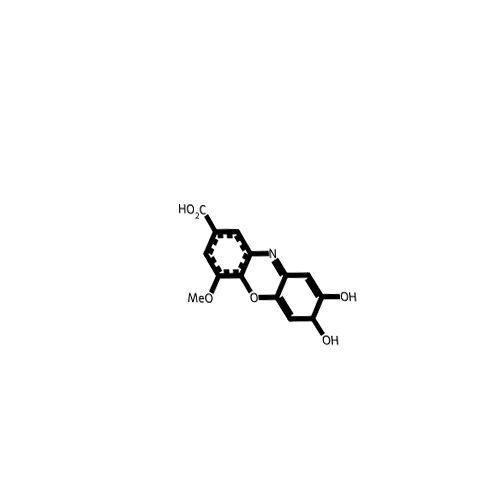 COc1cc(C(=O)O)cc2c1OC1=CC(O)C(O)=CC1=N2